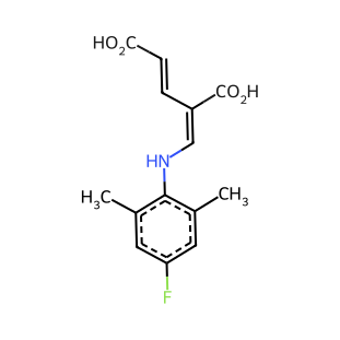 Cc1cc(F)cc(C)c1NC=C(C=CC(=O)O)C(=O)O